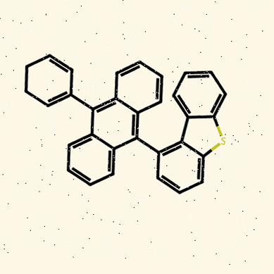 C1=CC(c2c3ccccc3c(-c3cccc4sc5ccccc5c34)c3ccccc23)=CCC1